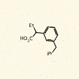 CCC(C(=O)O)c1cccc(CC(C)C)c1